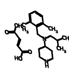 Cc1cccc(C)c1CN(CC(C)C)C1CCNCC1.O=C(O)/C=C/C(=O)O